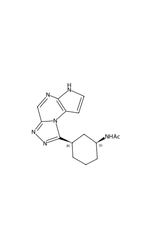 CC(=O)N[C@H]1CCC[C@@H](c2nnc3cnc4[nH]ccc4n23)C1